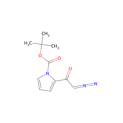 CC(C)(C)OC(=O)n1cccc1C(=O)C=[N+]=[N-]